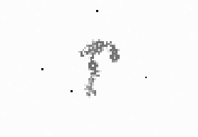 CCN(CC)[N+]([O-])=NOCOC(=O)c1ccc(CCN(C(=O)OC(C)(C)C)S(=O)(=O)c2cc(C(=O)NN3c4ccccc4CC3C)ccc2Cl)cc1